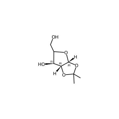 CC1(C)O[C@H]2OC(CO)[C@H](O)[C@H]2O1